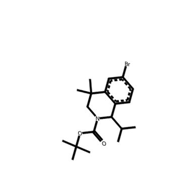 CC(C)C1c2ccc(Br)cc2C(C)(C)CN1C(=O)OC(C)(C)C